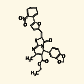 CCOC(=O)C1=C(C)N=c2s/c(=C\c3ccc(-c4ccccc4[N+](=O)[O-])o3)c(=O)n2C1c1ccc2c(c1)OCO2